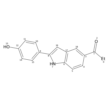 CCC(=O)c1ccc2[nH]c(-c3ccc(O)cc3)cc2c1